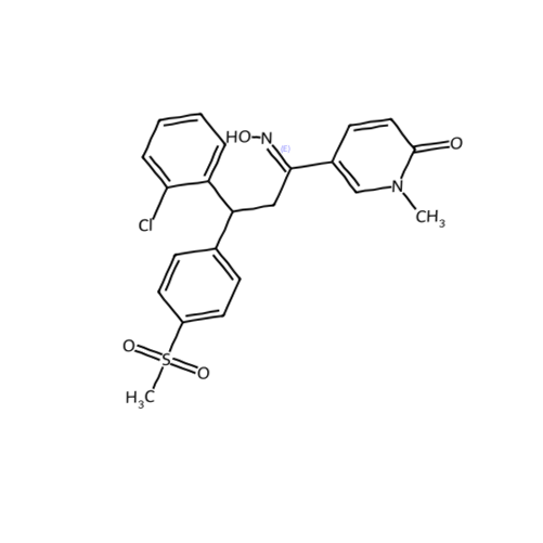 Cn1cc(/C(CC(c2ccc(S(C)(=O)=O)cc2)c2ccccc2Cl)=N/O)ccc1=O